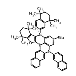 CC(C)(C)c1cc2c3c(c1)N(c1ccc4c(c1)C(C)(C)CCC4(C)C)c1c(oc4c1C(C)(C)CCC4(C)C)B3c1cc3ccccc3cc1N2c1ccc2ccccc2c1